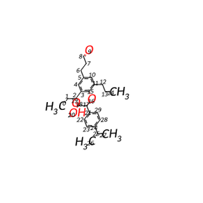 CCCc1cc(CCC=O)cc(CCC)c1OC(C(=O)O)c1ccc(C(C)C)cc1